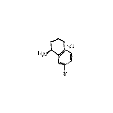 Cl.N[C@H]1CCCc2ccc(Br)cc21